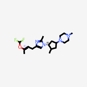 C/C(=C\Cc1cn([C@@H]2CC(N3CCN(C)CC3)CC2C)c(C)n1)OC(F)F